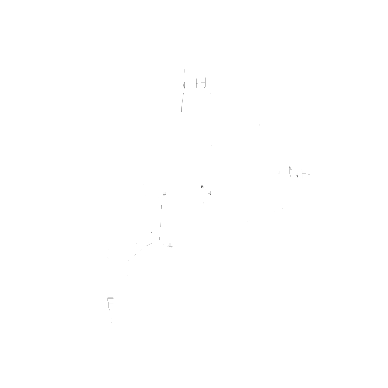 C=C[C@@H]1CNCCN1c1cccc(F)c1